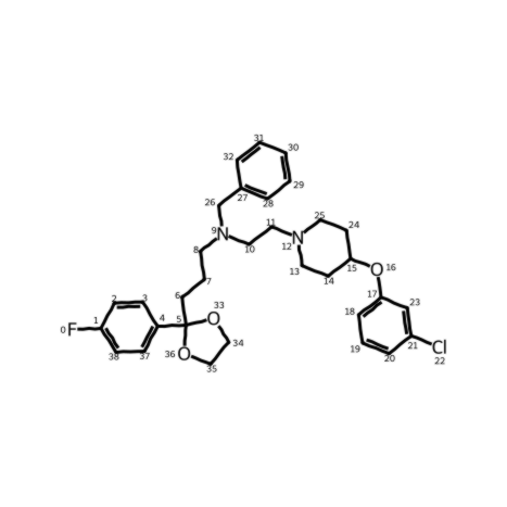 Fc1ccc(C2(CCCN(CCN3CCC(Oc4cccc(Cl)c4)CC3)Cc3ccccc3)OCCO2)cc1